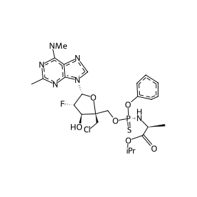 CNc1nc(C)nc2c1ncn2[C@@H]1O[C@](CCl)(CO[P@@](=S)(N[C@@H](C)C(=O)OC(C)C)Oc2ccccc2)[C@@H](O)[C@@H]1F